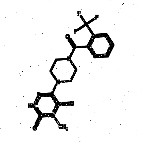 Cn1c(=O)[nH]nc(N2CCN(C(=O)c3ccccc3C(F)(F)F)CC2)c1=O